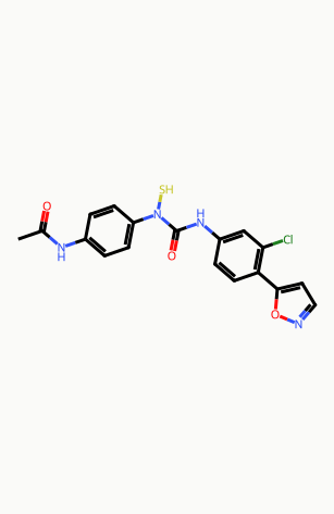 CC(=O)Nc1ccc(N(S)C(=O)Nc2ccc(-c3ccno3)c(Cl)c2)cc1